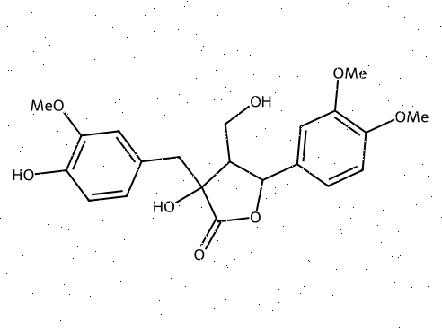 COc1cc(CC2(O)C(=O)OC(c3ccc(OC)c(OC)c3)C2CO)ccc1O